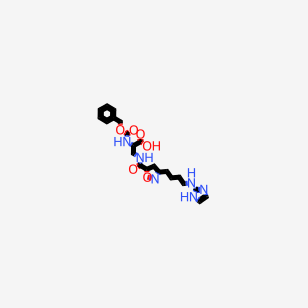 O=C(NC(CNC(=O)C1CC(CCCCNc2ncc[nH]2)=NO1)C(=O)O)OCc1ccccc1